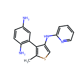 Cc1scc(Nc2ccccn2)c1-c1cc(N)ccc1N